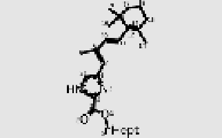 CCCCCCCOC(=O)c1nc(C=C(C)C=CC2=C(C)CCCC2(C)C)c[nH]1